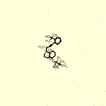 C[C@H](C#Cc1ccccc1C(C)(C)O)[C@@H]1CCC[C@H]2[C@H](O[Si](C)(C)C(C)(C)C)CCC[C@]12C